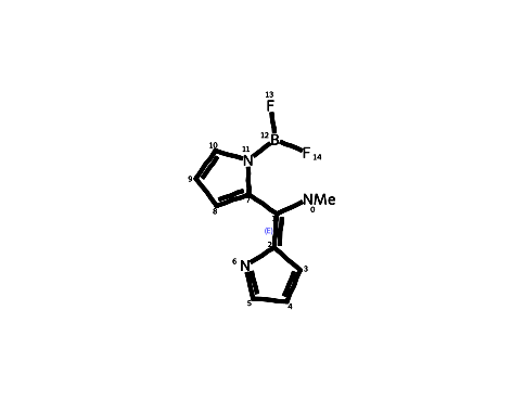 CN/C(=C1\C=CC=N1)c1cccn1B(F)F